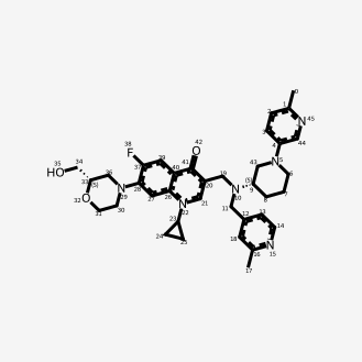 Cc1ccc(N2CCC[C@H](N(Cc3ccnc(C)c3)Cc3cn(C4CC4)c4cc(N5CCO[C@H](CO)C5)c(F)cc4c3=O)C2)cn1